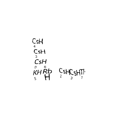 [CsH].[CsH].[CsH].[CsH].[CsH].[KH].[RbH].[Tl]